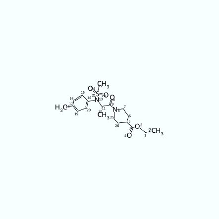 CCOC(=O)C1CCN(C(=O)[C@H](C)N(c2ccc(C)cc2)S(C)(=O)=O)CC1